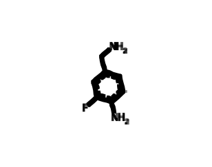 NCc1c[c]c(N)c(F)c1